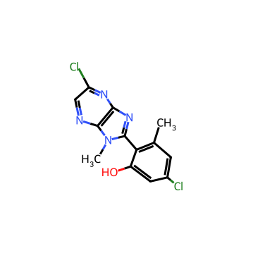 Cc1cc(Cl)cc(O)c1-c1nc2nc(Cl)cnc2n1C